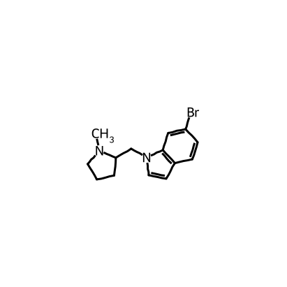 CN1CCCC1Cn1ccc2ccc(Br)cc21